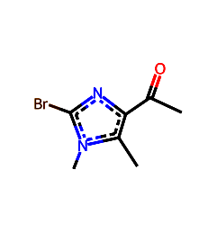 CC(=O)c1nc(Br)n(C)c1C